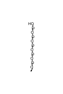 C#CCOCCOCCOCCOCCOCCOCCOCCOCCOCCOCCO